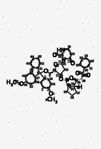 COc1ccc(C(OC[C@H]2O[C@@H](n3c(=O)cc[nH]c3=O)C[C@@H]2O[P@]2O[C@H](CS(=O)(=O)c3ccccc3)[C@@H]3CCCN32)(c2ccccc2)c2ccc(OC)cc2)cc1